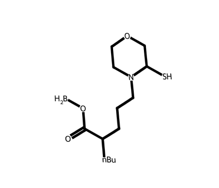 BOC(=O)C(CCCC)CCCN1CCOCC1S